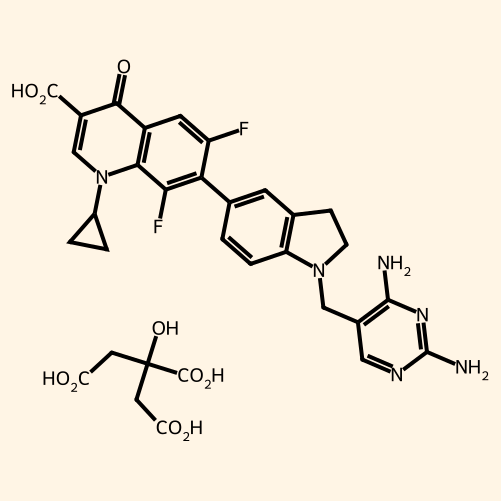 Nc1ncc(CN2CCc3cc(-c4c(F)cc5c(=O)c(C(=O)O)cn(C6CC6)c5c4F)ccc32)c(N)n1.O=C(O)CC(O)(CC(=O)O)C(=O)O